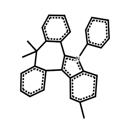 Cc1ccc2c(c1)c1c(n2-c2ccccc2)-c2ccccc2C(C)(C)c2ccccc2-1